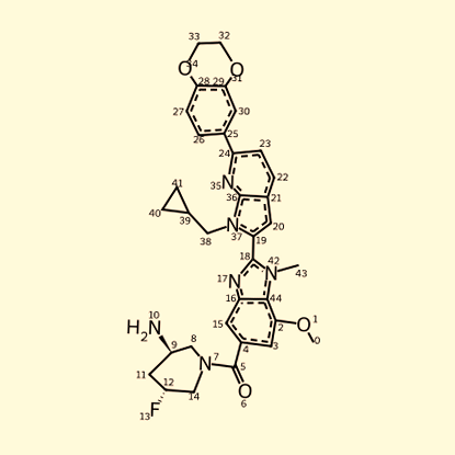 COc1cc(C(=O)N2C[C@H](N)C[C@@H](F)C2)cc2nc(-c3cc4ccc(-c5ccc6c(c5)OCCO6)nc4n3CC3CC3)n(C)c12